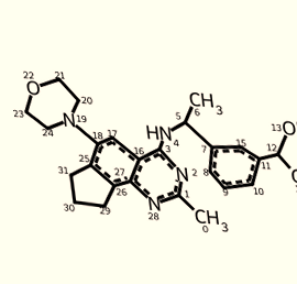 Cc1nc(NC(C)c2cccc(C(O)C(F)(F)F)c2)c2cc(N3CCOCC3)c3c(c2n1)CCC3